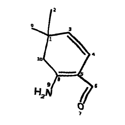 CC1(C)C=CC(C=O)=C(N)C1